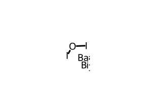 IOI.[Ba].[Bi]